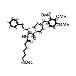 CCCCCCCCCCCCCCCC(=O)N[C@@H](CSCc1ccccc1)C(=O)N1CCN(Cc2ccc(OC)c(OC)c2OC)CC1